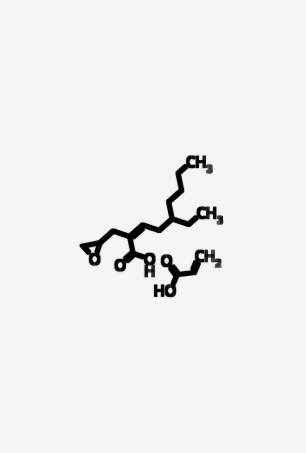 C=CC(=O)O.CCCCC(CC)CC=C(CC1CO1)C(=O)O